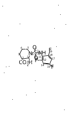 O=C(O)C1CCCCN1S(=O)(=O)Nc1c(F)cc(F)cc1F